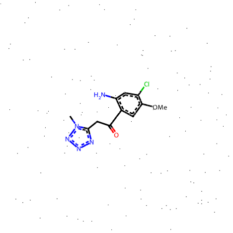 COc1cc(C(=O)Cc2nnnn2C)c(N)cc1Cl